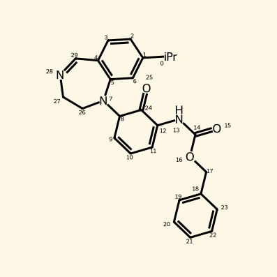 CC(C)c1ccc2c(c1)N(C1C=CC=C(NC(=O)OCc3ccccc3)C1=O)CCN=C2